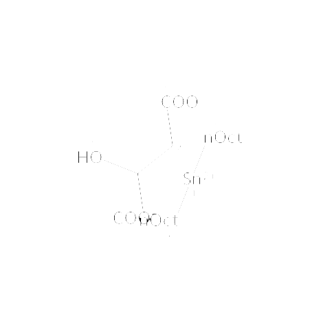 CCCCCCC[CH2][Sn+2][CH2]CCCCCCC.O=C([O-])CC(O)C(=O)[O-]